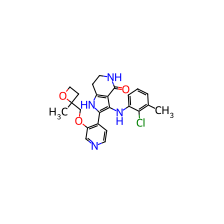 Cc1cccc(Nc2c(-c3ccncc3OCC3(C)CCO3)[nH]c3c2C(=O)NCC3)c1Cl